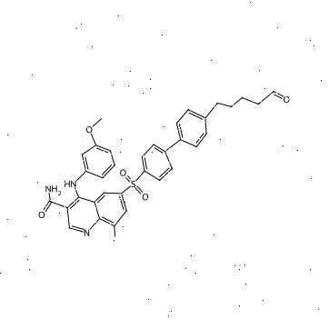 COc1cccc(Nc2c(C(N)=O)cnc3c(C)cc(S(=O)(=O)c4ccc(-c5ccc(CCCCC=O)cc5)cc4)cc23)c1